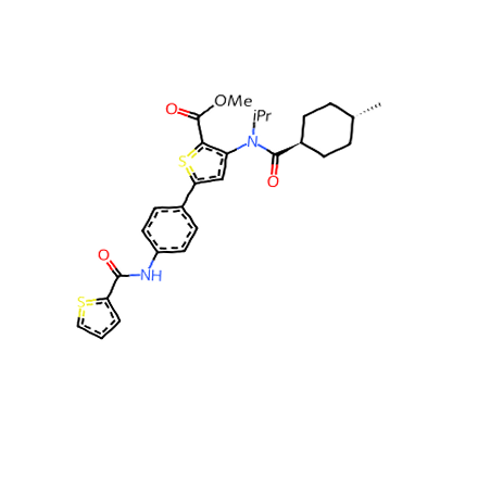 COC(=O)c1sc(-c2ccc(NC(=O)c3cccs3)cc2)cc1N(C(=O)[C@H]1CC[C@H](C)CC1)C(C)C